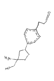 NC1(CO)CCC(c2ccc(CC=O)cc2)C1